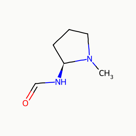 CN1CCC[C@@H]1NC=O